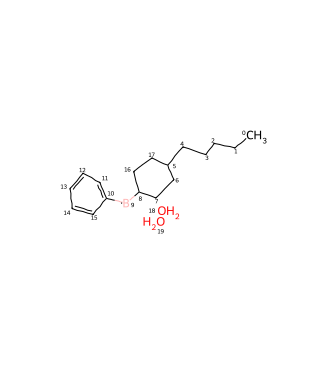 CCCCCC1CCC([B]c2ccccc2)CC1.O.O